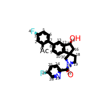 CC(=O)c1cc(F)ccc1-c1ccc2c(c1)C(O)CC21CCN(C(=O)c2ccc(F)cn2)C1